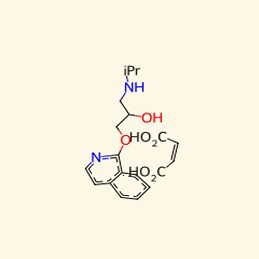 CC(C)NCC(O)COc1nccc2ccccc12.O=C(O)/C=C\C(=O)O